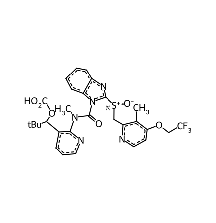 Cc1c(OCC(F)(F)F)ccnc1C[S@@+]([O-])c1nc2ccccc2n1C(=O)N(C)c1ncccc1C(OC(=O)O)C(C)(C)C